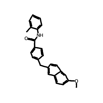 COc1ccc2cc(Cc3ccc(C(=O)Nc4ccccc4C)cc3)ccc2c1